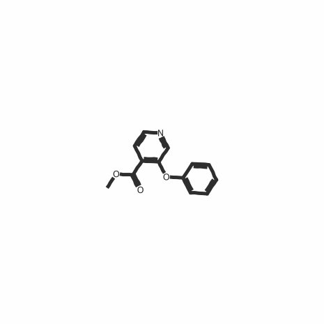 COC(=O)c1ccncc1Oc1ccccc1